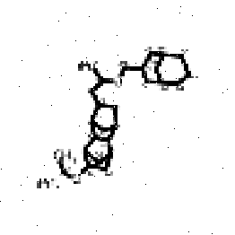 CC(C)C(CC1CC2CC1C1C3CC(CC3O[C@@H](C)C(C)C)C21)OCC1CC2CCCC(C2)C1